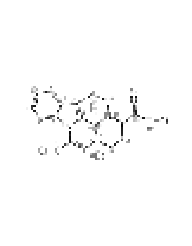 CC[C@@]12C=C(C=O)n3c4c(c5ccccc53)CCN(C(C(=O)C=O)CC1)[C@H]42